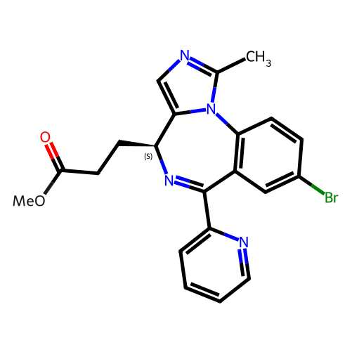 COC(=O)CC[C@@H]1N=C(c2ccccn2)c2cc(Br)ccc2-n2c1cnc2C